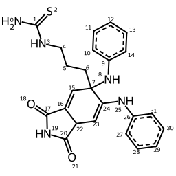 NC(=S)NCCCC1(Nc2ccccc2)C=C2C(=O)NC(=O)C2C=C1Nc1ccccc1